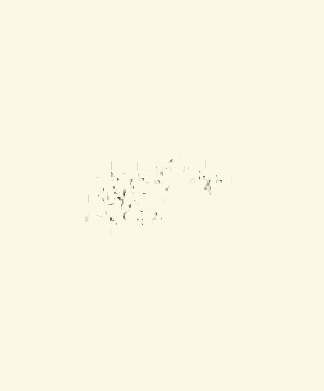 CC(C)[C@H](N)C(=O)N[C@@H](C)C(=O)N[C@H](C(=O)N[C@@H](CO)C(=O)N[C@@H](C)C(=O)N[C@@H](CC(=O)O)C(=O)N[C@@H](CCCNC(=N)N)C(=O)O)C(C)C